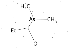 CCC([O])[As](C)C